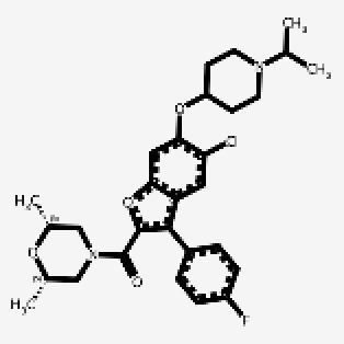 CC(C)N1CCC(Oc2cc3oc(C(=O)N4C[C@@H](C)O[C@@H](C)C4)c(-c4ccc(F)cc4)c3cc2Cl)CC1